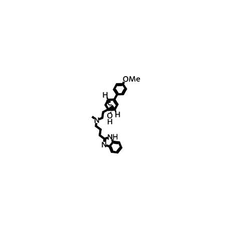 COc1ccc(C2=C[C@@H]3CC[C@H]2C[C@]3(O)CCN(C)CCCc2nc3ccccc3[nH]2)cc1